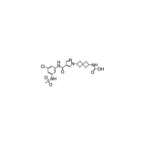 CS(=O)(=O)Nc1cc(Cl)cc(NC(=O)c2cnn(C3CC4(CC(NC(=O)O)C4)C3)c2)c1